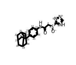 O=C(C[S+]([O-])c1nnc[nH]1)Nc1ccc(C23CC4CC(CC(C4)C2)C3)cc1